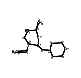 C=C[C@@H]1CN[C@@H](C)CN1CC1CCOCC1